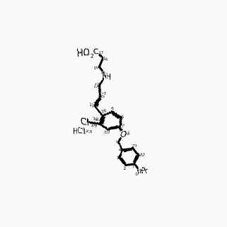 CCCc1ccc(COc2ccc(C=CCNCCC(=O)O)c(Cl)c2)cc1.Cl